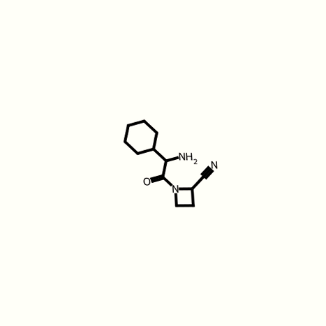 N#CC1CCN1C(=O)C(N)C1CCCCC1